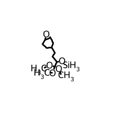 COC(OC)(OC)C(CCC1CCC2OC2C1)O[SiH3]